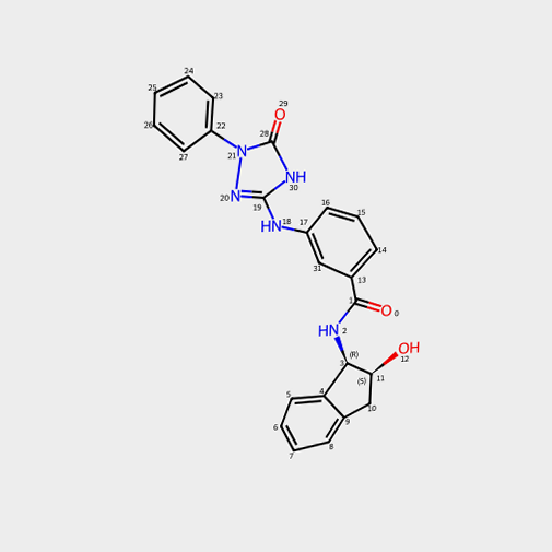 O=C(N[C@@H]1c2ccccc2C[C@@H]1O)c1cccc(Nc2nn(-c3ccccc3)c(=O)[nH]2)c1